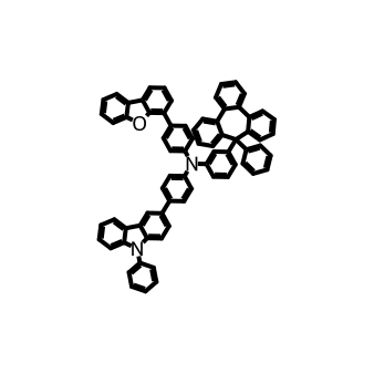 c1ccc(-n2c3ccccc3c3cc(-c4ccc(N(c5ccc(-c6cccc7c6oc6ccccc67)cc5)c5cccc(C6(c7ccccc7)c7ccccc7-c7ccccc7-c7ccccc76)c5)cc4)ccc32)cc1